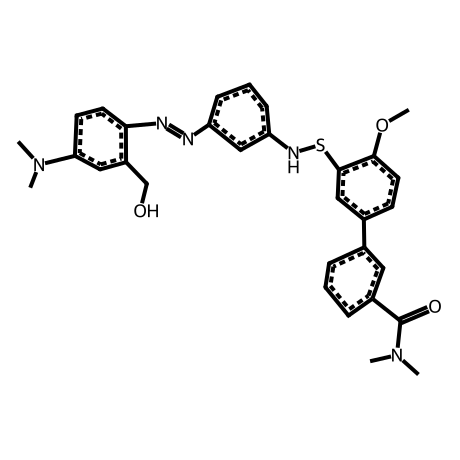 COc1ccc(-c2cccc(C(=O)N(C)C)c2)cc1SNc1cccc(/N=N/c2ccc(N(C)C)cc2CO)c1